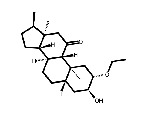 CCO[C@H]1C[C@@]2(C)[C@@H](CC[C@H]3[C@@H]4CC[C@@H](C)[C@@]4(C)CC(=O)[C@@H]32)C[C@@H]1O